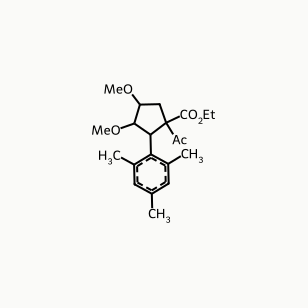 CCOC(=O)C1(C(C)=O)CC(OC)C(OC)C1c1c(C)cc(C)cc1C